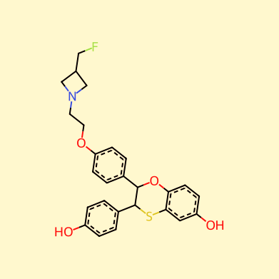 Oc1ccc(C2Sc3cc(O)ccc3OC2c2ccc(OCCN3CC(CF)C3)cc2)cc1